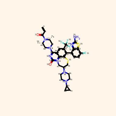 C=CC(=O)N1[C@H](C)CN(c2nc(=O)n3c4c(c(-c5ccc(F)c6sc(N)nc56)c(C(F)(F)F)cc24)SCC(N2CCN(C4CC4)CC2)C3)C[C@@H]1C